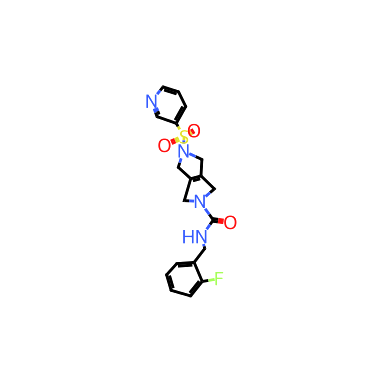 O=C(NCc1ccccc1F)N1CC2=C(C1)CN(S(=O)(=O)c1cccnc1)C2